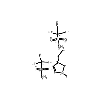 CCN1C=CN(C)C1.NS(=O)(=O)C(F)(F)F.NS(=O)(=O)C(F)(F)F